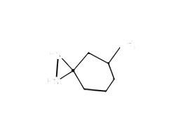 CC1CCCC2(C1)NN2